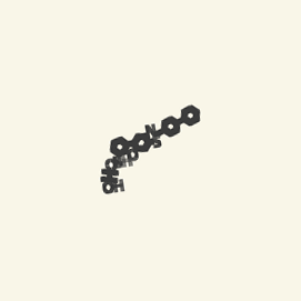 CC(C)(O)C(C)(C)OBc1cccc2c1oc1cc3sc(-c4ccc(-c5ccccc5)cc4)nc3cc12